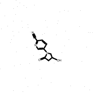 N#Cc1ccc(N2CC(O)CC2=O)cn1